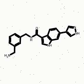 NCc1cccc(CNC(=O)c2c[nH]c3cc(-c4cn[nH]c4)ccc23)c1